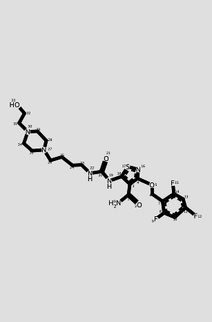 NC(=O)c1c(OCc2c(F)cc(F)cc2F)nsc1NC(=O)NCCCCN1CCN(CCO)CC1